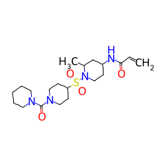 C=CC(=O)NC1CCN(S(=O)(=O)C2CCN(C(=O)N3CCCCC3)CC2)C(C)C1